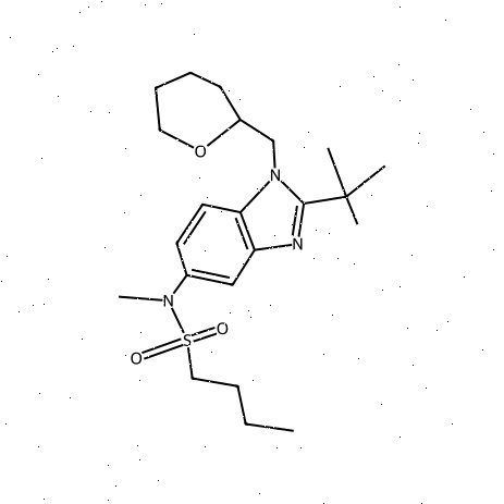 CCCCS(=O)(=O)N(C)c1ccc2c(c1)nc(C(C)(C)C)n2CC1CCCCO1